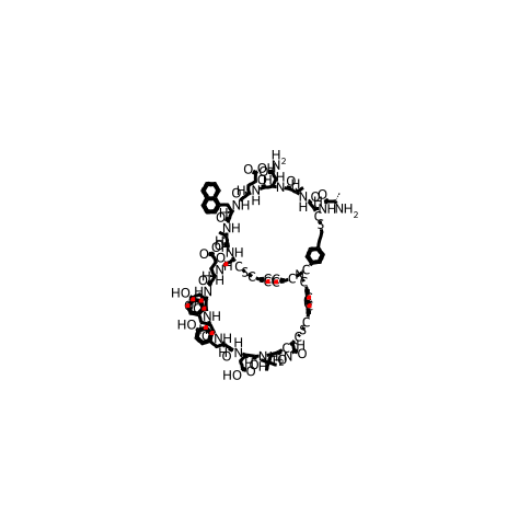 C[C@H](N)C(=O)N[C@H]1CSCc2ccc(cc2)CN2Cc3ccc(cc3)CSC[C@@H](C(N)=O)CC(=O)[C@H](C(C)(C)C)NC(=O)[C@H](CC(=O)O)NC(=O)[C@H](Cc3ccc(O)cc3)NC(=O)[C@H](Cc3ccccc3)NC(=O)[C@H](CC(=O)O)NC(=O)[C@H](CCC(=O)O)NC(=O)[C@H](CSCc3ccc(cc3)C2)NC(=O)[C@@H](C)NC(=O)[C@H](Cc2cccc3ccccc23)NC(=O)[C@H](CCC(=O)O)NC(=O)[C@H](CC(N)=O)NC(=O)[C@@H](C)NC1=O